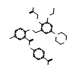 CCOc1cc(N2CCOCC2)cc(CNc2ccc(Cl)cc2C(=O)Nc2ccc(C(=N)N)cc2)c1OCC(=O)O